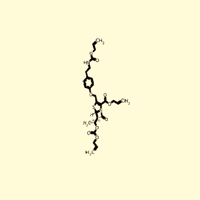 C=CCOC(=O)NCCc1ccc(OCC2=C(C(=O)OCC=C)N3C(=O)[C@H]([C@@H](C)OC(=O)OCC=C)[C@H]3S2)cc1